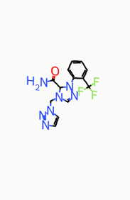 NC(=O)C1N(Cn2ccnn2)C=NN1c1ccccc1C(F)(F)F